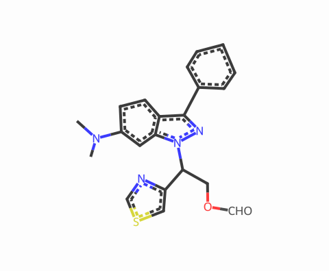 CN(C)c1ccc2c(-c3ccccc3)nn(C(COC=O)c3cscn3)c2c1